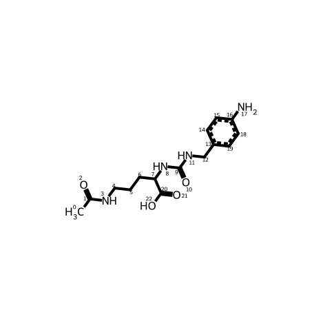 CC(=O)NCCCC(NC(=O)NCc1ccc(N)cc1)C(=O)O